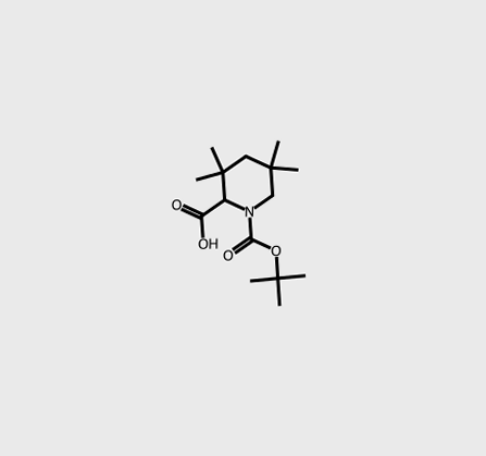 CC1(C)CN(C(=O)OC(C)(C)C)C(C(=O)O)C(C)(C)C1